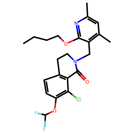 CCCCOc1nc(C)cc(C)c1CN1CCc2ccc(OC(F)F)c(Cl)c2C1=O